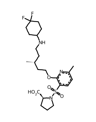 Cc1ccc(S(=O)(=O)N2CCC[C@H]2C(=O)O)c(OCC[C@H](C)CCNC2CCC(F)(F)CC2)n1